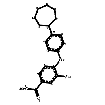 COC(=O)c1ccc(Oc2ccc(C3CCCCCC3)cc2)c(F)c1